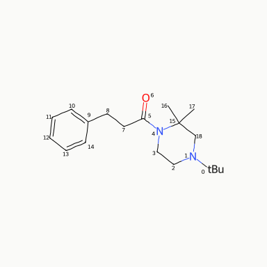 CC(C)(C)N1CCN(C(=O)CCc2ccccc2)C(C)(C)C1